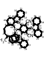 C=C1/C=C\C=C/CN(c2c(-n3c4ccccc4c4ccccc43)c(C#N)c(-n3c4ccccc4c4ccccc43)c(C#N)c2-n2c3ccccc3c3ccccc32)c2ccccc21